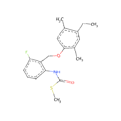 CCc1cc(C)c(OCc2c(F)cccc2NC(=O)SC)cc1C